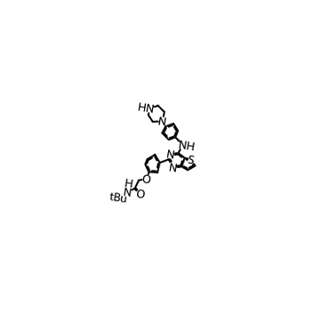 CC(C)(C)NC(=O)COc1cccc(-c2nc(Nc3ccc(N4CCNCC4)cc3)c3sccc3n2)c1